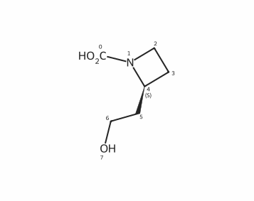 O=C(O)N1CC[C@H]1CCO